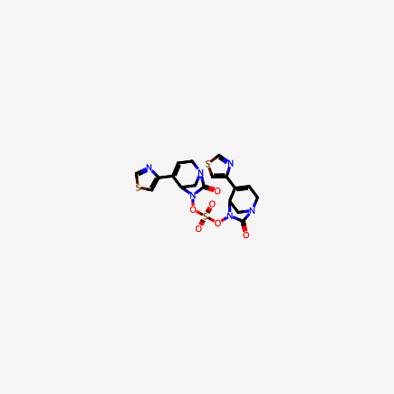 O=C1N2CC=C(c3cscn3)C(C2)N1OS(=O)(=O)ON1C(=O)N2CC=C(c3cscn3)C1C2